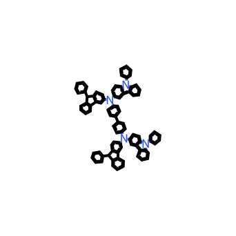 c1ccc(C2c3ccccc3-c3cc(N(c4ccc(-c5ccc(N(c6ccc7c(c6)-c6ccccc6C7c6ccccc6)c6ccc7c(c6)c6ccccc6n7-c6ccccc6)cc5)cc4)c4ccc5c(c4)c4ccccc4n5-c4ccccc4)ccc32)cc1